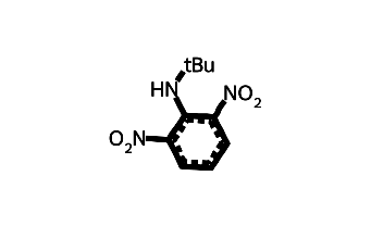 CC(C)(C)Nc1c([N+](=O)[O-])cccc1[N+](=O)[O-]